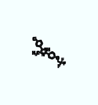 Cc1nc(-c2ccc(OCC(F)(F)F)cc2)[nH]c1-c1ccc(Cl)cc1